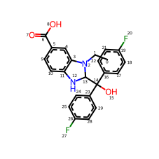 CCN1c2cc(C(=O)O)ccc2NC1C(O)(c1ccc(F)cc1)c1ccc(F)cc1